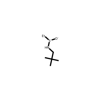 CC[S+]([O-])NCC(C)(C)C